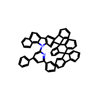 c1ccc(-c2cc(-c3ccccc3)nc(-n3c4cc5c(cc4c4ccc6ccccc6c43)-c3ccccc3C53c4ccccc4C4(c5ccccc5-c5ccccc54)c4ccccc43)c2)cc1